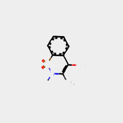 CC(C)N1C(C#N)=C(O)c2ccccc2S1(=O)=O